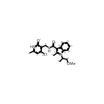 CCc1cc(C)[nH]c(=O)c1CNC(=O)c1c(C)n(C(C)COC)c2ccccc12